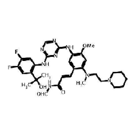 COc1cc(N(C)CCN2CCCCC2)c(C=CC(=O)NC=O)cc1Nc1ncnc(Nc2cc(F)c(F)cc2C(C)(C)O)n1